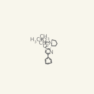 CC(C)(C)OC(=O)N1CCCC[C@@H]1c1nc(-c2ccccc2)cs1